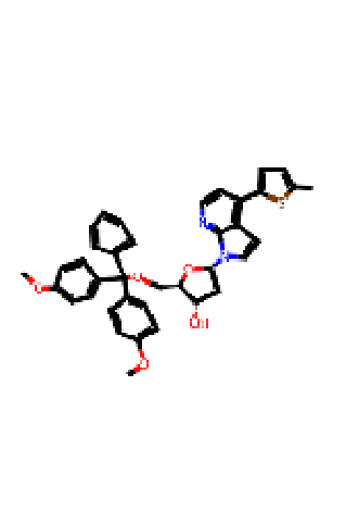 COc1ccc(C(OC[C@H]2O[C@@H](n3ccc4c(-c5ccc(C)s5)ccnc43)C[C@@H]2O)(c2ccccc2)c2ccc(OC)cc2)cc1